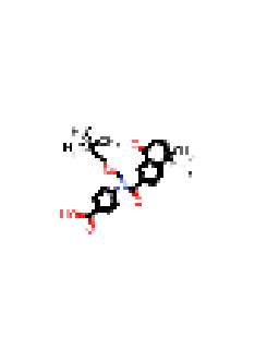 CC1(C)CCC(=O)c2cc(C(=O)N(COCC[Si](C)(C)C)c3ccc(C(=O)O)cc3)ccc21